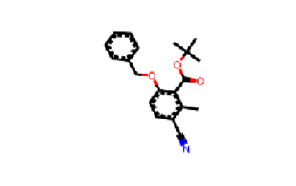 Cc1c(C#N)ccc(OCc2ccccc2)c1C(=O)OC(C)(C)C